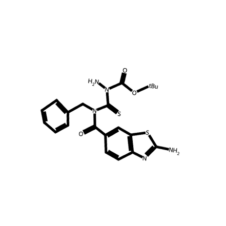 CC(C)(C)OC(=O)N(N)C(=S)N(Cc1ccccc1)C(=O)c1ccc2nc(N)sc2c1